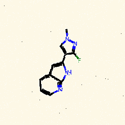 Cn1cc(-c2cc3cccnc3[nH]2)c(F)n1